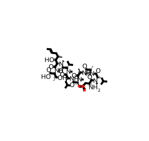 CC=CC[C@@H](C)[C@@H](O)[C@@H](C(=O)N[C@H](C(=O)O)[C@@H](C)O)N(C)C(=O)[C@H](C(C)C)N(C)C(=O)[C@H](CC(C)C)NC(=O)[C@H](CC(C)C)N(C)C(=O)[C@@H](C)NC(=O)[C@H](C)NC(=O)[C@H](CC(C)C)N(C)C(=O)[C@@H](N)CC(C)C